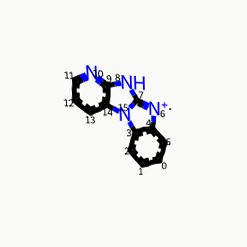 c1ccc2c(c1)[N+]=C1Nc3ncccc3N12